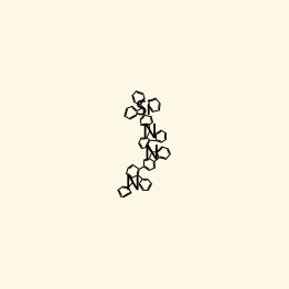 c1ccc(-n2c3ccccc3c3c(-c4ccc5c6ccccc6n(-c6cccc7c6c6ccccc6n7-c6ccc([Si](c7ccccc7)(c7ccccc7)c7ccccc7)cc6)c5c4)cccc32)cc1